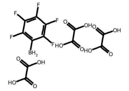 Bc1c(F)c(F)c(F)c(F)c1F.O=C(O)C(=O)O.O=C(O)C(=O)O.O=C(O)C(=O)O